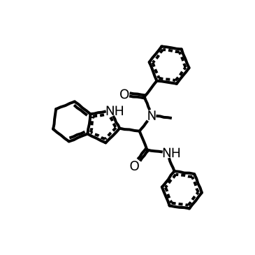 CN(C(=O)c1ccccc1)C(C(=O)Nc1ccccc1)c1cc2c([nH]1)=CCCC=2